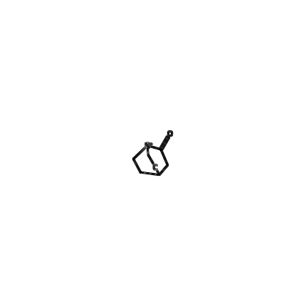 O=C1CC2CC[N+]1CC2